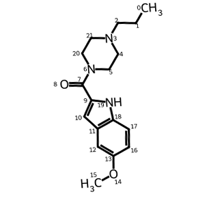 CCCN1CCN(C(=O)c2cc3cc(OC)ccc3[nH]2)CC1